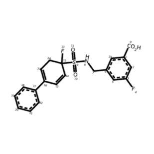 O=C(O)c1cc(F)cc(CNS(=O)(=O)C2(F)C=CC(c3ccccc3)=CC2)c1